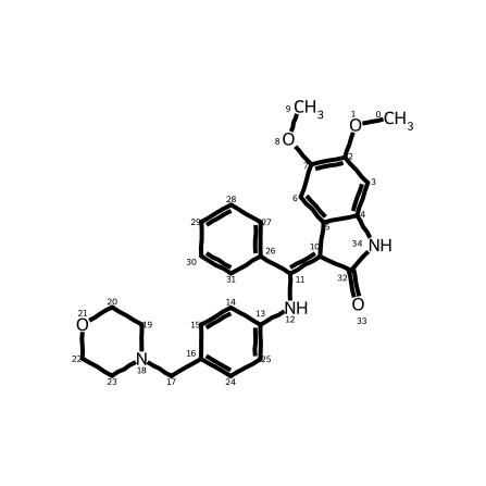 COc1cc2c(cc1OC)/C(=C(/Nc1ccc(CN3CCOCC3)cc1)c1ccccc1)C(=O)N2